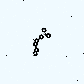 c1ccc(N(c2ccccc2)c2ccc(-c3ccc4ccc(-c5ccc6ccccc6c5)cc4c3)cc2)cc1